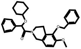 COc1ccc2c(c1OCc1ccccc1)CCN(C(=O)C(OC1CCCCC1)c1ccccc1)C2